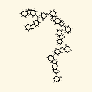 c1ccc(-c2nc3cc4c(cc3o2)oc2c(-c3ccc(N(c5ccccc5)c5ccc6c(c5)oc5c(-c7ccccc7-c7nc8cc9oc%10c(-c%11ccc(N(c%12ccc%13sc%14ccccc%14c%13c%12)c%12ccc%13sc%14ccccc%14c%13c%12)cc%11)cccc%10c9cc8o7)cccc56)cc3)cccc24)cc1